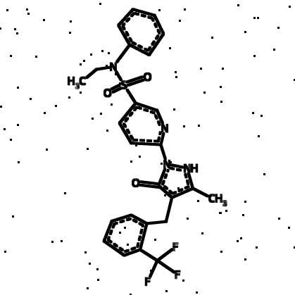 CCN(c1ccccc1)S(=O)(=O)c1ccc(-n2[nH]c(C)c(Cc3ccccc3C(F)(F)F)c2=O)nc1